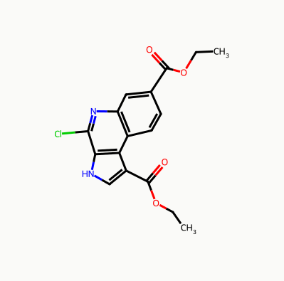 CCOC(=O)c1ccc2c(c1)nc(Cl)c1[nH]cc(C(=O)OCC)c12